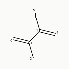 C=C(C)C(=C)I